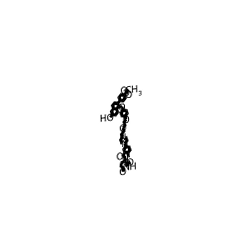 CS(=O)(=O)c1ccc(-c2ccc3cc(O)ccc3c2Oc2ccc(OCCOCCN3CCN(c4ccc5c(c4)C(=O)N(C4CCC(=O)NC4=O)C5)CC3)cc2)cc1